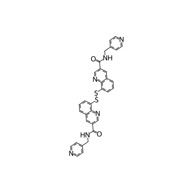 O=C(NCc1ccncc1)c1cnc2c(SSc3cccc4cc(C(=O)NCc5ccncc5)cnc34)cccc2c1